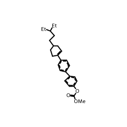 CCC(CC)CCC1CC=C(c2ccc(-c3ccc(OC(=O)OC)cc3)cc2)CC1